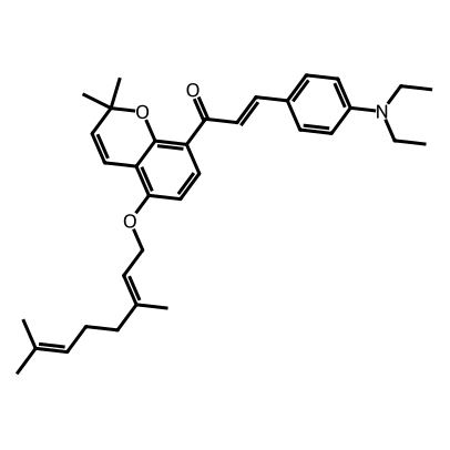 CCN(CC)c1ccc(/C=C/C(=O)c2ccc(OC/C=C(\C)CCC=C(C)C)c3c2OC(C)(C)C=C3)cc1